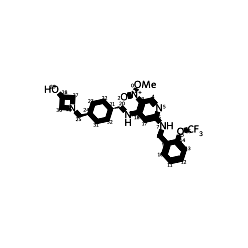 CO[N+](=O)c1cnc(NCc2ccccc2OC(F)(F)F)cc1NC[C@H]1CC[C@H](CN2CC(O)C2)CC1